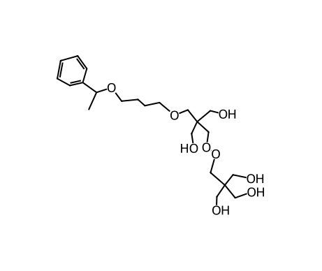 CC(OCCCCOCC(CO)(CO)COOCC(CO)(CO)CO)c1ccccc1